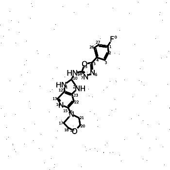 Fc1ccc(-c2nnc(NC3Nc4cnc(N5CCOCC5)cc4N3)o2)cc1